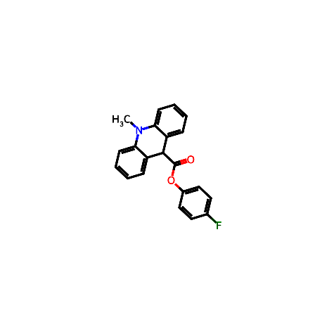 CN1c2ccccc2C(C(=O)Oc2ccc(F)cc2)c2ccccc21